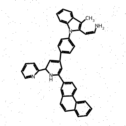 Cc1c(/C=C\N)n(-c2ccc(C3=CC(c4ccccn4)NC(c4ccc5c(ccc6ccccc65)c4)=C3)cc2)c2ccccc12